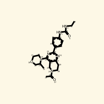 CCNC(=O)Nc1ccc(-c2nc3c(c(N4CCOCC4C)n2)CN(C(C)=O)CC3)cc1